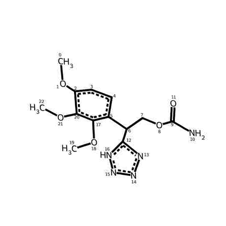 COc1ccc(C(COC(N)=O)c2nnn[nH]2)c(OC)c1OC